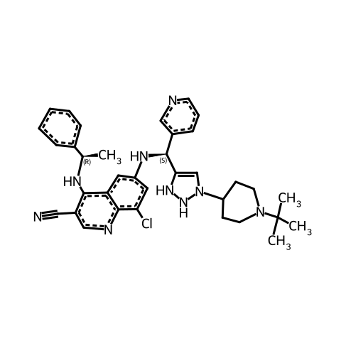 C[C@@H](Nc1c(C#N)cnc2c(Cl)cc(N[C@H](C3=CN(C4CCN(C(C)(C)C)CC4)NN3)c3cccnc3)cc12)c1ccccc1